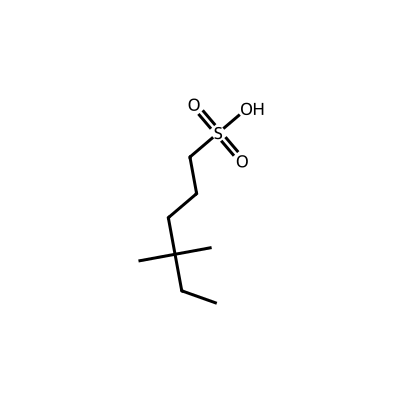 CCC(C)(C)CCCS(=O)(=O)O